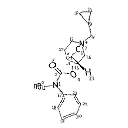 CCCCN(C(=O)O[C@H]1C[N+]2(CC3CC3)CCC1CC2)c1ccccc1